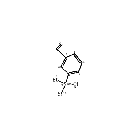 C=Cc1cccc([Si](CC)(CC)CC)c1